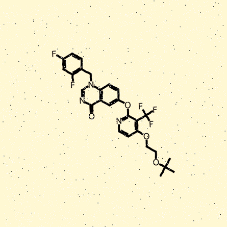 CC(C)(C)OCCOc1ccnc(Oc2ccc3c(c2)c(=O)ncn3Cc2ccc(F)cc2F)c1C(F)(F)F